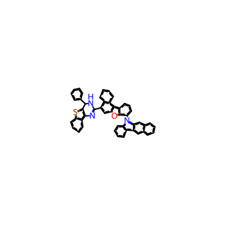 c1ccc(C2NC(c3cc4oc5c(-n6c7ccccc7c7cc8ccccc8cc76)cccc5c4c4ccccc34)=Nc3c2sc2ccccc32)cc1